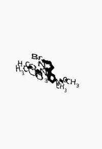 COCCN(C)C1CCc2c(c3ccc(Br)nc3n2C(=O)OC(C)(C)C)C1